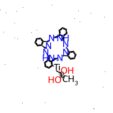 C[C@H](O)[C@H](O)[CH2][Ti][c]1cccc2c3nc4nc(nc5[nH]c(nc6nc(nc([nH]3)c12)-c1ccccc1-6)c1ccccc51)-c1ccccc1-4